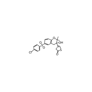 CC1(C)Oc2ccc(S(=O)(=O)c3ccc(Cl)cc3)cc2CC1(O)N1CSC(=O)C1